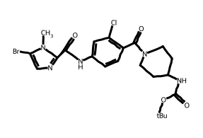 Cn1c(Br)cnc1C(=O)Nc1ccc(C(=O)N2CCC(NC(=O)OC(C)(C)C)CC2)c(Cl)c1